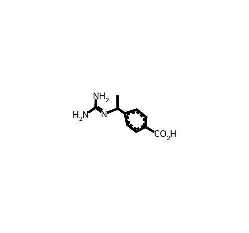 CC(N=C(N)N)c1ccc(C(=O)O)cc1